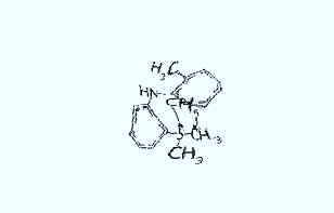 Cc1ccccc1Nc1ccccc1S(C)(C)C